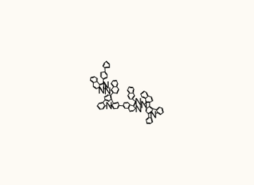 c1ccc(-c2ccc(-c3nc(-n4c5cc6c7ccccc7n7c8ccc(-c9ccc%10c(ccc%11nc(-n%12c%13cc%14c%15ccccc%15n%15c%16ccccc%16c(c%13c%13ccc%16ccccc%16c%13%12)c%14%15)nc(-c%12ccc%13ccccc%13c%12)c%11%10)c9)cc8c(c5c5ccc8ccccc8c54)c67)nc4ccc5ccccc5c34)cc2)cc1